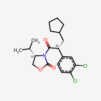 CC(C)[C@H]1COC(=O)N1C(=O)[C@H](CC1CCCC1)c1ccc(Cl)c(Cl)c1